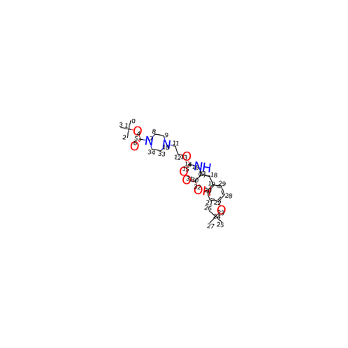 CC(C)(C)OC(=O)N1CCN(CCOC(=O)N[C@@H](Cc2ccc(OC(C)(C)C)cc2)C(=O)O)CC1